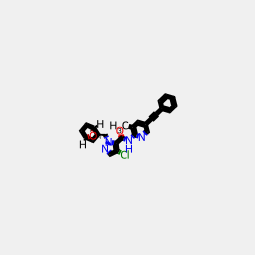 Cc1cc(C#Cc2ccccc2)cnc1NC(=O)c1c(Cl)cnn1C[C@H]1C[C@@H]2CC[C@H]1O2